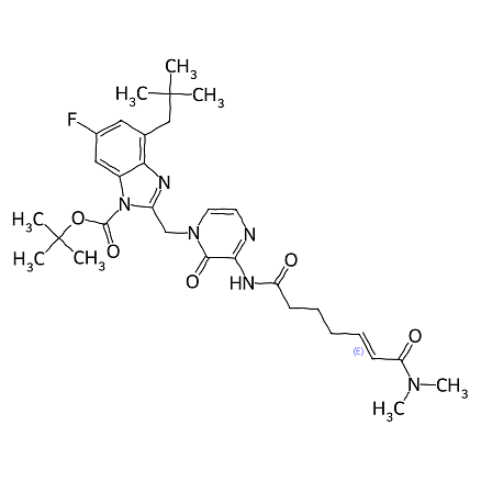 CN(C)C(=O)/C=C/CCCC(=O)Nc1nccn(Cc2nc3c(CC(C)(C)C)cc(F)cc3n2C(=O)OC(C)(C)C)c1=O